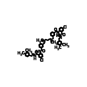 Cc1ccc(C=NNC(=O)c2cc(Cl)ccc2NC(=O)c2cccc(CN(C)CCCN(C)Cc3cccc(C(=O)Nc4ccc(Cl)cc4C(=O)NN=Cc4ccc(C)c(C)c4)c3)c2)cc1C